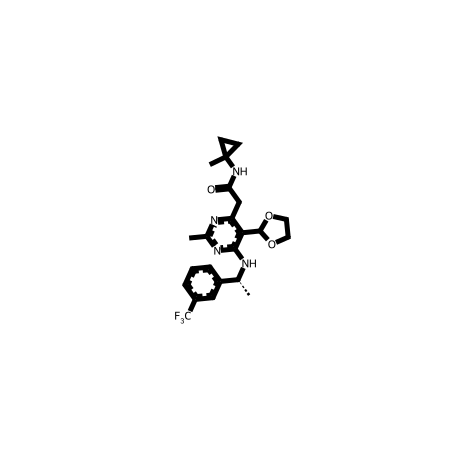 Cc1nc(CC(=O)NC2(C)CC2)c(C2OCCO2)c(N[C@H](C)c2cccc(C(F)(F)F)c2)n1